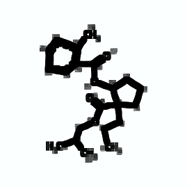 CCCC1(C(=O)OCC(C)C)CCCC1OC(=O)c1ccccc1C